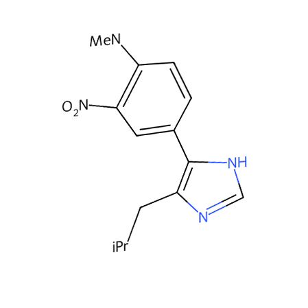 CNc1ccc(-c2[nH]cnc2CC(C)C)cc1[N+](=O)[O-]